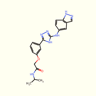 CC(C)NC(=O)COc1cccc(-c2nnc(Nc3ccc4[nH]ncc4c3)[nH]2)c1